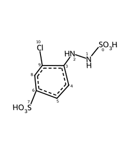 O=S(=O)(O)NNc1ccc(S(=O)(=O)O)cc1Cl